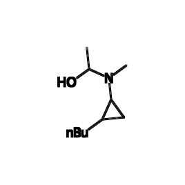 CCCCC1CC1N(C)C(C)O